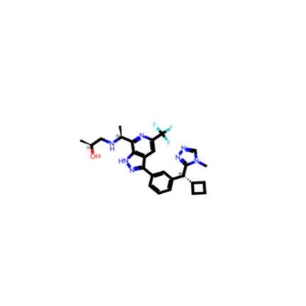 C[C@H](O)CN[C@@H](C)c1nc(C(F)(F)F)cc2c(-c3cccc([C@H](c4nncn4C)C4CCC4)c3)n[nH]c12